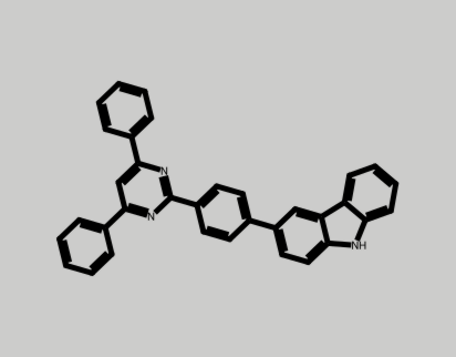 c1ccc(-c2cc(-c3ccccc3)nc(-c3ccc(-c4ccc5[nH]c6ccccc6c5c4)cc3)n2)cc1